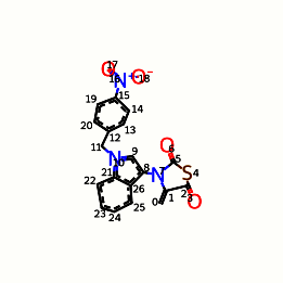 C=C1C(=O)SC(=O)N1c1cn(Cc2ccc([N+](=O)[O-])cc2)c2ccccc12